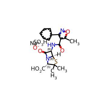 Cc1onc(-c2ccccc2)c1C(=O)N[C@@H]1C(=O)N2[C@@H]1SC(C)(C)[C@@H]2C(=O)O.O=S(=O)([O-])O.[Na+]